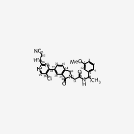 COc1cccc([C@@H](C)NC(=O)CN2Cc3ccc(-c4nc(NCC#N)ncc4Cl)cc3C2=O)c1